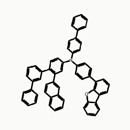 c1ccc(-c2ccc(N(c3ccc(-c4cccc5c4oc4ccccc45)cc3)c3ccc(-c4cccc(-c5ccccc5)c4)c(-c4ccc5ccccc5c4)c3)cc2)cc1